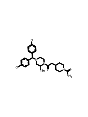 CCCC[C@H]1CN(C(c2ccc(Cl)cc2)c2ccc(Cl)cc2)CCN1C(=O)CC1CCN(C(N)=O)CC1